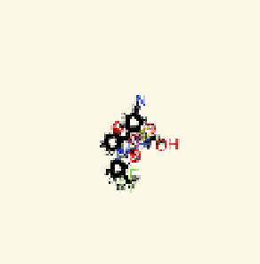 N#Cc1ccc(C2NC(=O)N(c3cccc(C(F)(F)F)c3)C3=C2C(=O)CCC3)c(S(=O)(=O)CCO)c1